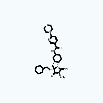 CN1C(=N)N[C@](CCC2CCCCC2)(C[C@H]2CCCC(NC(=O)c3ccc(N4CCOCC4)nc3)C2)C1=O